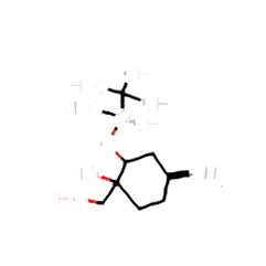 C=C1CCC(O)(CO)C(O[Si](C)(C)C(C)(C)C)C1